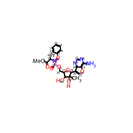 COC(=O)C(C(C)C)N(Oc1ccccc1)[PH](=O)OCC1OC(c2coc3c(N)ncnc23)C(C)(O)C1O